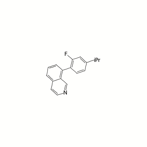 CC(C)c1ccc(-c2cccc3ccncc23)c(F)c1